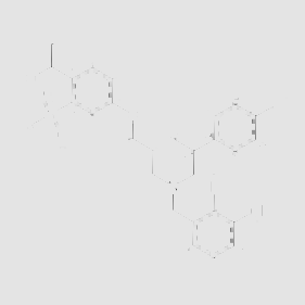 CC(O)c1ccc(OCCCN(Cc2cccc(C(F)(F)F)c2F)CC(C)c2ccc(F)cc2)cc1S(C)(=O)=O